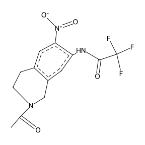 CC(=O)N1CCc2cc([N+](=O)[O-])c(NC(=O)C(F)(F)F)cc2C1